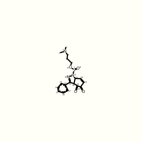 CN(C)CCCOS(=O)N1N=C(c2ccccc2)C2C(=O)C(=O)C=CC21